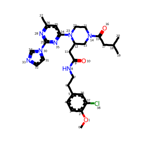 COc1ccc(CCNC(=O)CC2CN(C(=O)CC(C)C)CCN2c2cc(C)nc(-n3ccnc3)n2)cc1Cl